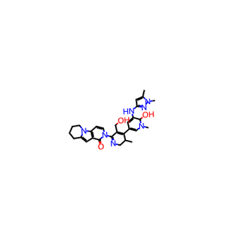 Cc1cc(NC2=CC(C3=C(CO)C(n4ccc5c(cc6n5CCCC6)c4=O)=NCC3C)=CN(C)C2O)nn1C